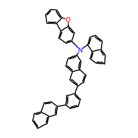 c1cc(-c2ccc3ccccc3c2)cc(-c2ccc3cc(N(c4ccc5c(c4)oc4ccccc45)c4cccc5ccccc45)ccc3c2)c1